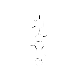 N[C@@H]1CCC[C@@H]1Oc1ccc2c(c1F)CN(C1CCC(=O)NC1=O)C2=O